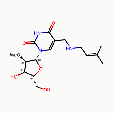 CO[C@@H]1[C@H](O)[C@@H](CO)O[C@H]1n1cc(CNCC=C(C)C)c(=O)[nH]c1=O